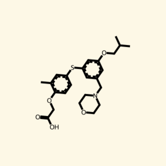 Cc1cc(Sc2cc(CN3CCOCC3)cc(OCC(C)C)c2)ccc1OCC(=O)O